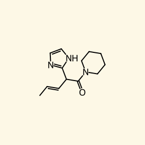 CC=CC(C(=O)N1CCCCC1)c1ncc[nH]1